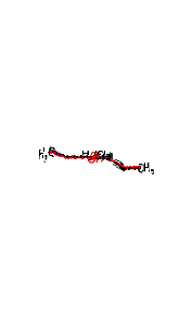 CCC/C=C/CCCCCCCCCCCCCCCCCCCC(O)C(CCCCCCCCCCCCCCCCCCCCC)C(=O)C(C)(C)C